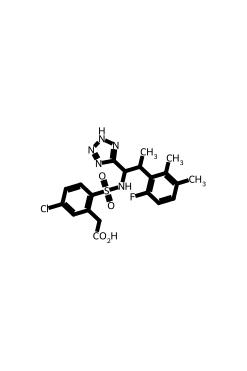 Cc1ccc(F)c(C(C)C(NS(=O)(=O)c2ccc(Cl)cc2CC(=O)O)c2nn[nH]n2)c1C